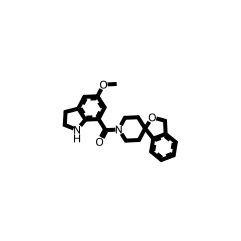 COc1cc2c(c(C(=O)N3CCC4(CC3)OCc3ccccc34)c1)NCC2